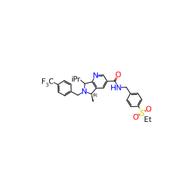 CCS(=O)(=O)c1ccc(CNC(=O)c2cnc3c(c2)[C@@H](C)N(Cc2ccc(C(F)(F)F)cc2)C3C(C)C)cc1